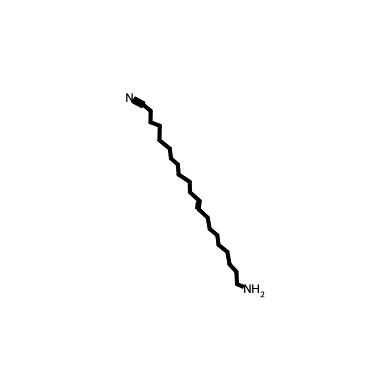 N#CCCCCCCCCCCC=CCCCCCCCCN